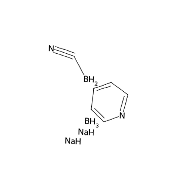 B.BC#N.[NaH].[NaH].c1ccncc1